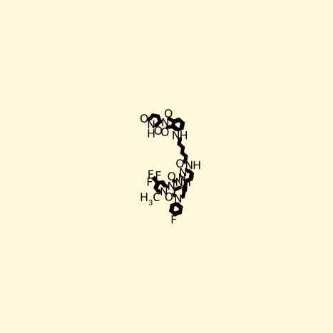 Cc1cc(C(F)(F)F)cc(N2C(=O)NC[C@H]2C(=O)N(CC#Cc2ccc(NC(=O)CCCCCNc3cccc4c3C(=O)N(C3CCC(=O)NC3=O)C4=O)nn2)c2ccc(F)cc2)n1